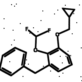 FC(F)Oc1c(OCC2CC2)[c]ccc1Cc1ccccc1